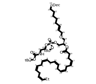 CC/C=C\C/C=C\C/C=C\C/C=C\C/C=C\C/C=C\CCC(=O)O[C@H](COC/C=C/CCCCCCCCCCCCCCC)COP(=O)(OCCNC(=O)OC(C)(C)C)OC(C)(C)C